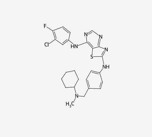 CN(Cc1ccc(Nc2nc3ncnc(Nc4ccc(F)c(Cl)c4)c3s2)cc1)C1CCCCC1